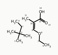 CCC(C)(C)C.CCOC=C(C)C(=O)O